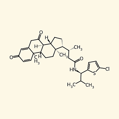 CC(C)[C@@H](NC(=O)C[C@@H](C)[C@H]1CC[C@H]2[C@@H]3C(=O)CC4=CC(=O)C=C[C@]4(C)[C@H]3CC[C@]12C)c1ccc(Cl)s1